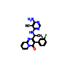 CC(Nc1ncnc(N)c1C#N)c1nc2ccccn2c(=O)c1-c1cccc(F)c1